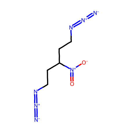 [N-]=[N+]=NCCC(CCN=[N+]=[N-])[N+](=O)[O-]